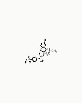 CC(C)O[C@@H]1CC2(CCN(C(O)c3ccc(S(=O)(=O)C(F)F)cc3)CC2)Oc2ccc(F)cc21